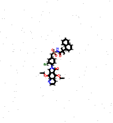 CCOc1c2c(c(OCC)c3ncccc13)CN(c1ccc(CS(=O)(=O)NC(=O)C(C)(C)c3cccc4ccccc34)cc1Br)C2=O